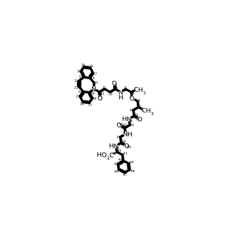 CC(COC(C)CNC(=O)CCC(=O)N1Cc2ccccc2C#Cc2ccccc21)CC(=O)NCC(=O)NCC(=O)N[C@@H](Cc1ccccc1)C(=O)O